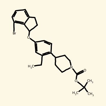 CCc1cc(OC2CCc3cccc(Br)c32)ccc1C1CCN(C(=O)OC(C)(C)C)CC1